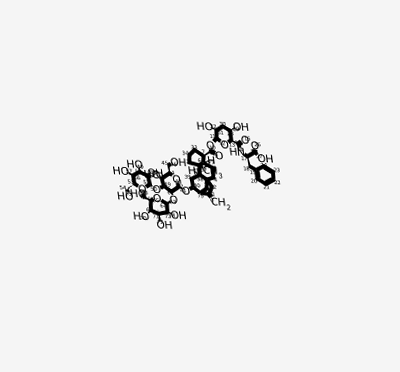 C=C1CC23CC[C@@H]4[C@H](C(=O)OC5O[C@H](C(=O)N[C@H](Cc6ccccc6)C(=O)O)[C@@H](O)C[C@H]5O)CCC[C@@]4(C)[C@@H]2CC(O[C@@H]2O[C@H](CO)[C@@H](O)C(O[C@@H]4O[C@H](CO)[C@@H](O)[C@H](O)[C@H]4O)[C@H]2O[C@@H]2O[C@H](CO)[C@@H](O)[C@H](O)[C@H]2O)C1C3